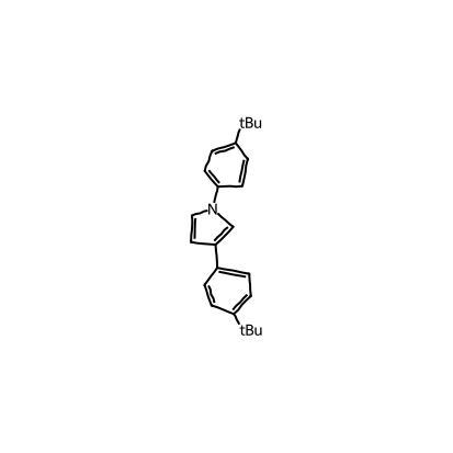 CC(C)(C)c1ccc(-c2ccn(-c3ccc(C(C)(C)C)cc3)c2)cc1